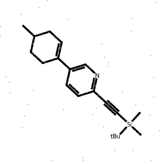 CC1CC=C(c2ccc(C#C[Si](C)(C)C(C)(C)C)nc2)CC1